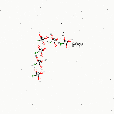 O=[Te](=O)([O-])F.O=[Te](=O)([O-])F.O=[Te](=O)([O-])F.O=[Te](=O)([O-])F.O=[Te](=O)([O-])F.O=[Te](=O)([O-])F.[Cu+2].[Cu+2].[Cu+2]